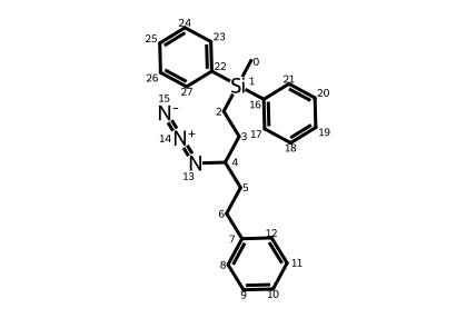 C[Si](CCC(CCc1ccccc1)N=[N+]=[N-])(c1ccccc1)c1ccccc1